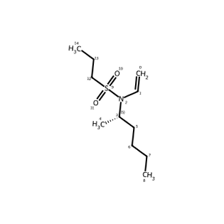 C=CN([C@@H](C)CCCC)S(=O)(=O)CCC